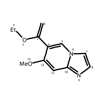 C=C(OCC)c1cn2ccnc2cc1OC